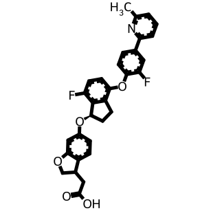 Cc1cccc(-c2ccc(Oc3ccc(F)c4c3CC[C@H]4Oc3ccc4c(c3)OCC4CC(=O)O)c(F)c2)n1